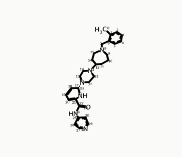 Cc1ccccc1CN1CCCC(N2CCN([C@H]3C=CC=C(C(=O)Nc4ccncc4)N3)CC2)CC1